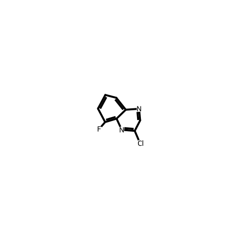 Fc1cccc2ncc(Cl)nc12